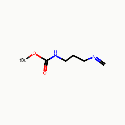 C=NCCCNC(=O)OC(C)(C)C